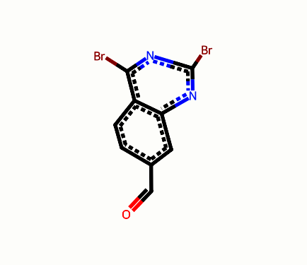 O=Cc1ccc2c(Br)nc(Br)nc2c1